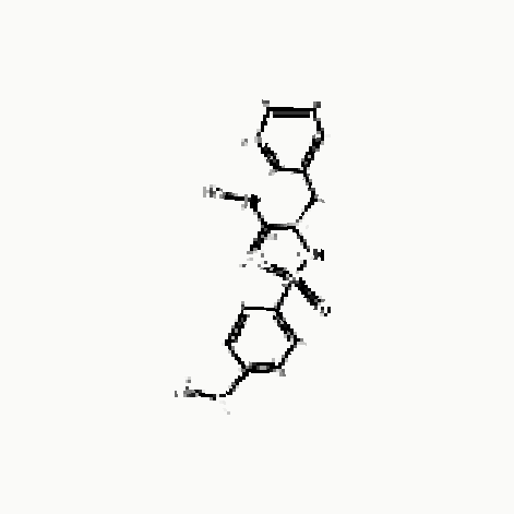 CCCCOc1ccc(S(=O)(=O)N[C@H](Cc2cccnc2)C(=O)NO)cc1